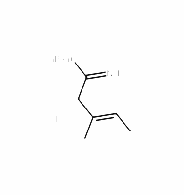 [CH2]C=C(C)CC(=N)CCCCC.[LiH]